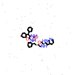 COC(=O)NC(C(=O)Nc1ccccc1CC[C@@H]1CN[C@H](c2cc3cccnc3[nH]2)CO1)C(c1ccccc1)c1ccccc1